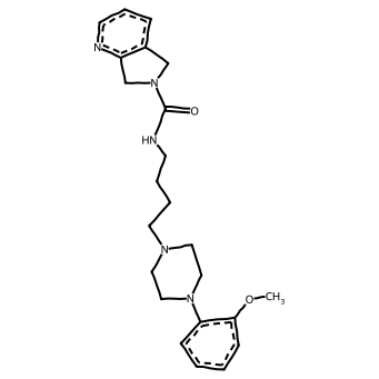 COc1ccccc1N1CCN(CCCCNC(=O)N2Cc3cccnc3C2)CC1